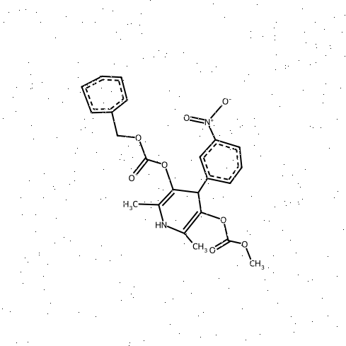 COC(=O)OC1=C(C)NC(C)=C(OC(=O)OCc2ccccc2)C1c1cccc([N+](=O)[O-])c1